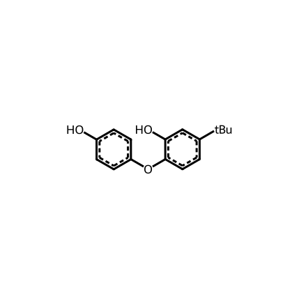 CC(C)(C)c1ccc(Oc2ccc(O)cc2)c(O)c1